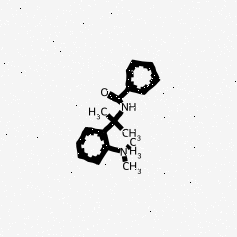 CN(C)c1ccccc1C(C)(C)NC(=O)c1ccccc1